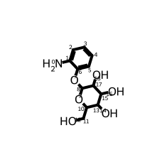 Nc1ccccc1OC1OC(CO)C(O)C(O)C1O